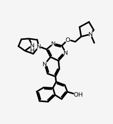 CN1CCCC1COc1nc(N2CC3CCC(C2)N3)c2ncc(-c3cc(O)cc4ccccc34)cc2n1